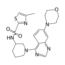 Cc1csc(S(=O)(=O)NC2CCCN(c3ncnc4cc(N5CCOCC5)ccc34)C2)n1